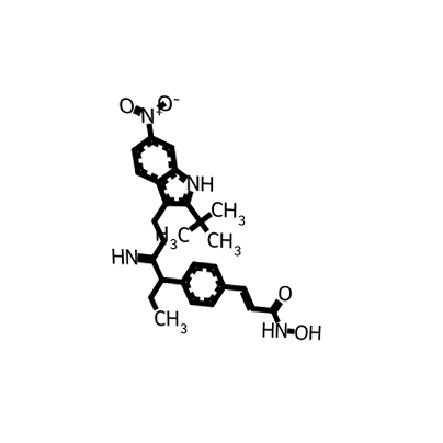 CCC(C(=N)CCc1c(C(C)(C)C)[nH]c2cc([N+](=O)[O-])ccc12)c1ccc(/C=C/C(=O)NO)cc1